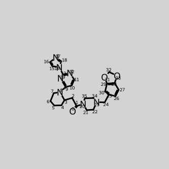 O=C(CC1CCCCN1c1ccnc(-n2ccnc2)n1)N1CCN(Cc2ccc3c(c2)OCO3)CC1